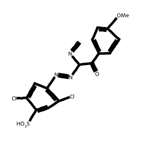 C=NC(N=Nc1cc(Cl)c(S(=O)(=O)O)cc1Cl)C(=O)c1ccc(OC)cc1